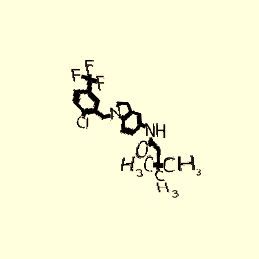 CC(C)(C)CC(=O)Nc1ccc2c(c1)CCN2Cc1cc(C(F)(F)F)ccc1Cl